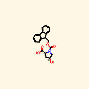 O=C(O)[C@@H]1C[C@H](O)CN1C(=O)OCC1c2ccccc2-c2ccccc21